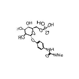 CNC(=O)Nc1ccc(O[C@H]2O[C@H](COP(=O)(O)O)[C@@H](O)[C@H](O)[C@@H]2O)cc1